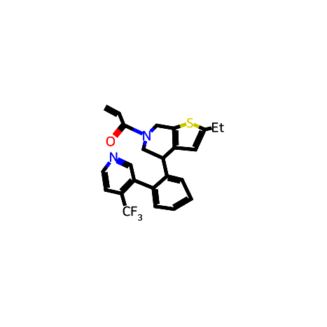 C=CC(=O)N1Cc2sc(CC)cc2C(c2ccccc2-c2cnccc2C(F)(F)F)C1